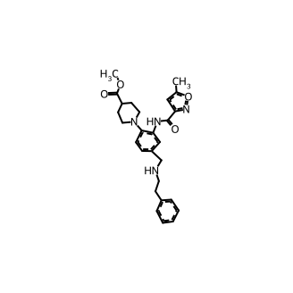 COC(=O)C1CCN(c2ccc(CNCCc3ccccc3)cc2NC(=O)c2cc(C)on2)CC1